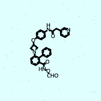 O=CONC(=O)c1cccc(N2CC(Oc3ccc(NC(=O)Cc4cccnc4)cc3)C2)c1-c1ccccc1